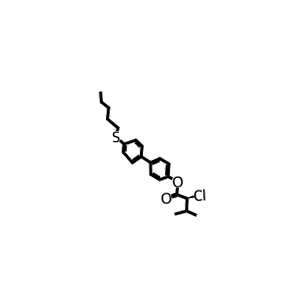 CCCCCSc1ccc(-c2ccc(OC(=O)[C@@H](Cl)C(C)C)cc2)cc1